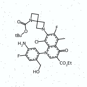 CCOC(=O)c1cn(-c2cc(N)c(F)cc2CO)c2c(Cl)c(N3CC4(CCN4C(=O)OC(C)(C)C)C3)c(F)c(C)c2c1=O